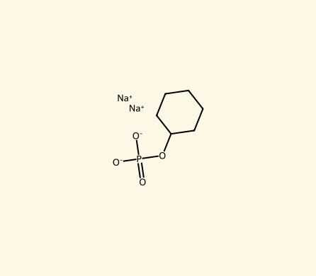 O=P([O-])([O-])OC1CCCCC1.[Na+].[Na+]